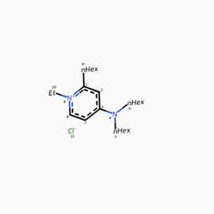 CCCCCCc1cc(N(CCCCCC)CCCCCC)cc[n+]1CC.[Cl-]